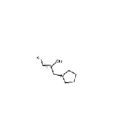 CC(=O)/C=C(\O)CN1CCCC1